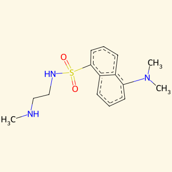 CNCCNS(=O)(=O)c1cccc2c(N(C)C)cccc12